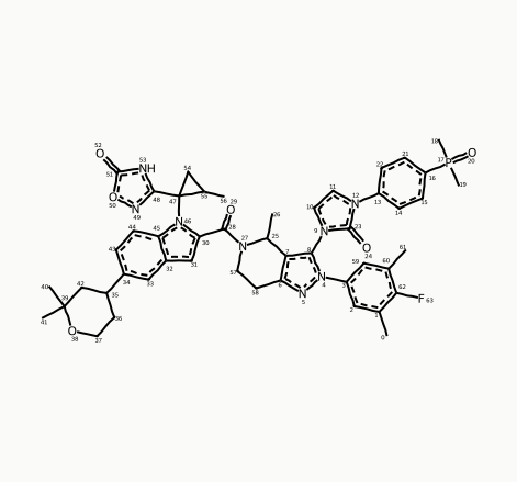 Cc1cc(-n2nc3c(c2-n2ccn(-c4ccc(P(C)(C)=O)cc4)c2=O)C(C)N(C(=O)c2cc4cc(C5CCOC(C)(C)C5)ccc4n2C2(c4noc(=O)[nH]4)CC2C)CC3)cc(C)c1F